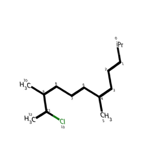 CC(C)CCCC(C)CCCC(C)C(C)Cl